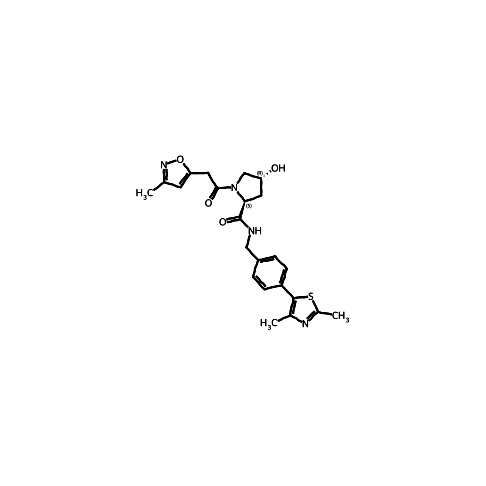 Cc1cc(CC(=O)N2C[C@H](O)C[C@H]2C(=O)NCc2ccc(-c3sc(C)nc3C)cc2)on1